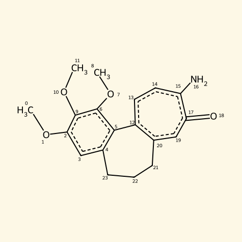 COc1cc2c(c(OC)c1OC)-c1ccc(N)c(=O)cc1CCC2